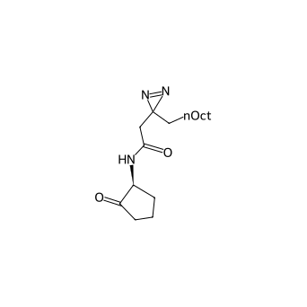 CCCCCCCCCC1(CC(=O)N[C@H]2CCCC2=O)N=N1